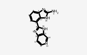 Nc1nc2cccc(-c3nc4ccncc4[nH]3)c2[nH]1